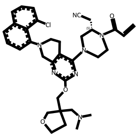 C=CC(=O)N1CCN(c2nc(OCC3(CN(C)C)CCOC3)nc3c2CCN(c2cccc4cccc(Cl)c24)C3)C[C@@H]1CC#N